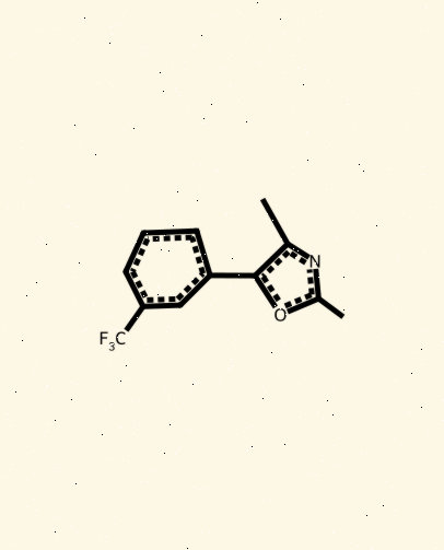 Cc1nc(C)c(-c2cccc(C(F)(F)F)c2)o1